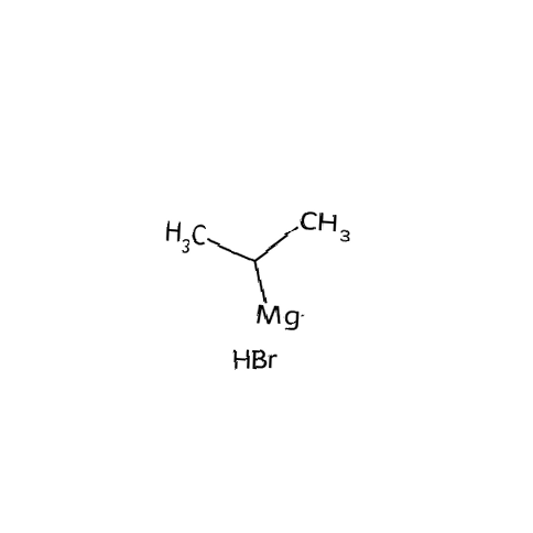 Br.C[CH](C)[Mg]